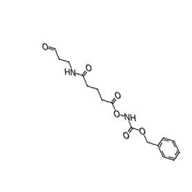 O=CCCNC(=O)CCCC(=O)ONC(=O)OCc1ccccc1